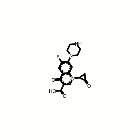 O=C(O)c1cn(C2CC2=O)c2cc(N3CCNCC3)c(F)cc2c1=O